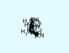 CC(Cn1ccc(-c2cc(F)c(C#N)c(Cl)c2)n1)NC(=O)c1cn(COCC[Si](C)(C)C)c(C(C)(C)O)n1